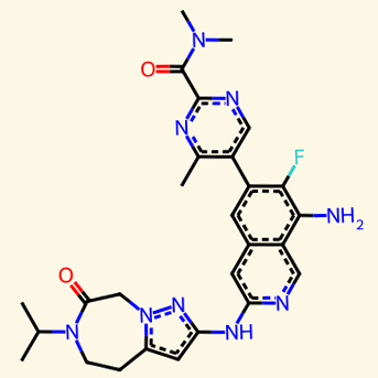 Cc1nc(C(=O)N(C)C)ncc1-c1cc2cc(Nc3cc4n(n3)CC(=O)N(C(C)C)CC4)ncc2c(N)c1F